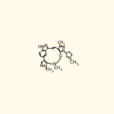 Cc1nn(C2CCN(C)C2)c2c1/C=C/c1n[nH]c3ccc(cc13)-c1cnn(C)c1CN(C)CCO2